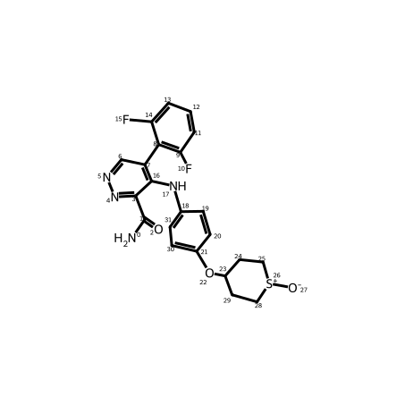 NC(=O)c1nncc(-c2c(F)cccc2F)c1Nc1ccc(OC2CC[S+]([O-])CC2)cc1